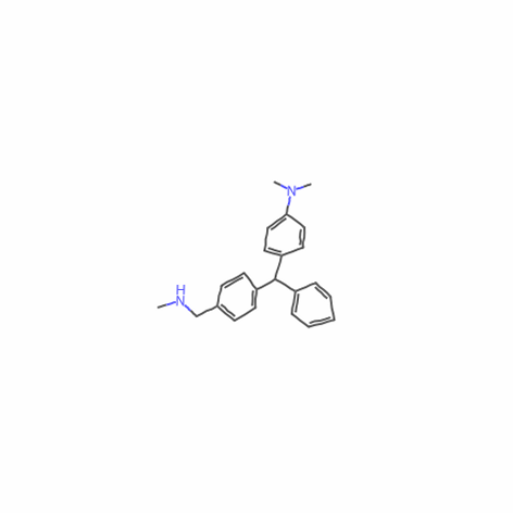 CNCc1ccc(C(c2ccccc2)c2ccc(N(C)C)cc2)cc1